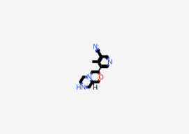 Cc1c(C#N)cncc1[C@@H]1CN2CCNC[C@H]2CO1